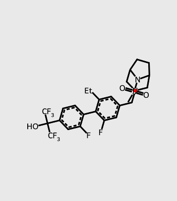 CCc1cc(CN2CC3CCC(C2)N3S(C)(=O)=O)cc(F)c1-c1ccc(C(O)(C(F)(F)F)C(F)(F)F)cc1F